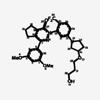 COc1cc(OC)cc(-c2nn(-c3cc(N4CCC(OCCCO)C4)ccc3C(F)(F)F)c(=O)c3c2CCC3)c1